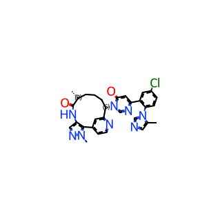 Cc1cncn1-c1ccc(Cl)cc1-c1cc(=O)n([C@H]2CCC[C@@H](C)C(=O)Nc3cnn(C)c3-c3ccnc2c3)cn1